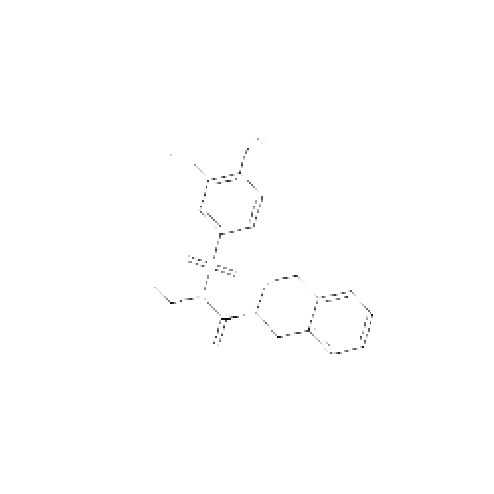 COc1ccc(S(=O)(=O)N(CC(=O)O)C(=O)[C@@H]2Cc3ccccc3CN2)cc1OC